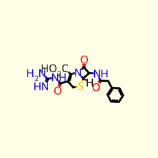 N=C(N)NC(=O)C1=C(C(=O)O)N2C(=O)C(NC(=O)Cc3ccccc3)[C@@H]2SC1